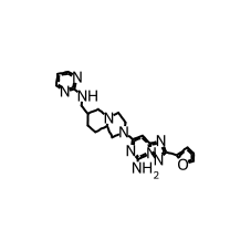 Nc1nc(N2CCN3CC(CNc4ncccn4)CCC3C2)cc2nc(-c3ccco3)nn12